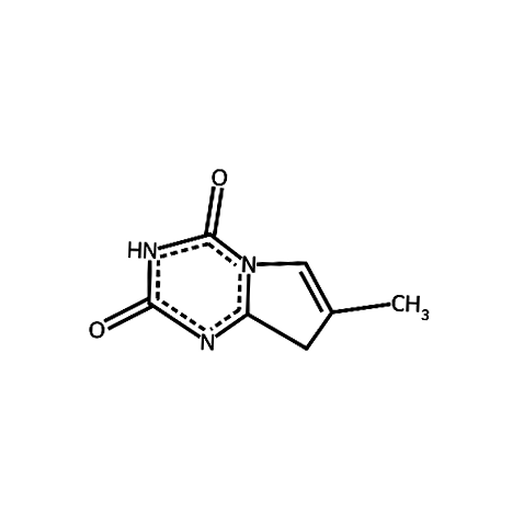 CC1=Cn2c(nc(=O)[nH]c2=O)C1